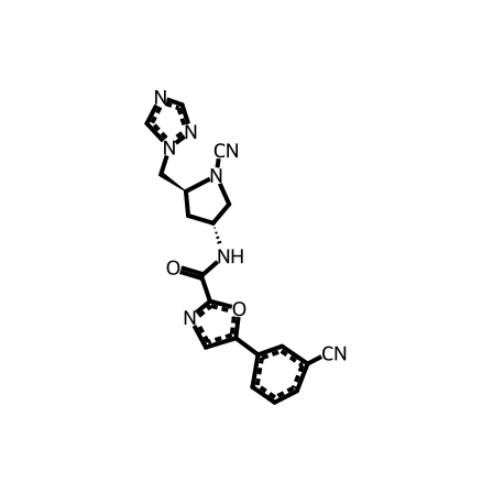 N#Cc1cccc(-c2cnc(C(=O)N[C@@H]3C[C@@H](Cn4cncn4)N(C#N)C3)o2)c1